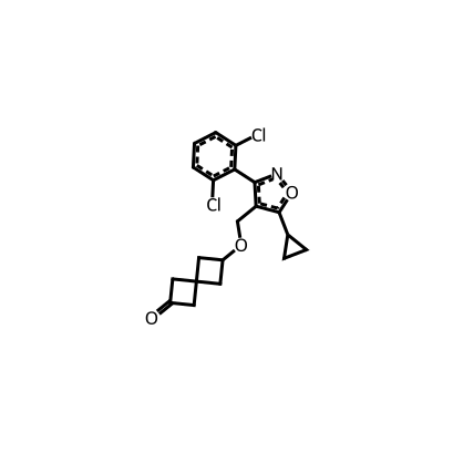 O=C1CC2(C1)CC(OCc1c(-c3c(Cl)cccc3Cl)noc1C1CC1)C2